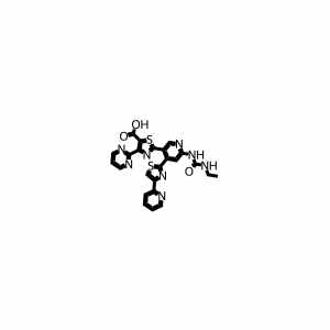 CCNC(=O)Nc1cc(-c2nc(-c3ccccn3)cs2)c(-c2nc(-c3ncccn3)c(C(=O)O)s2)cn1